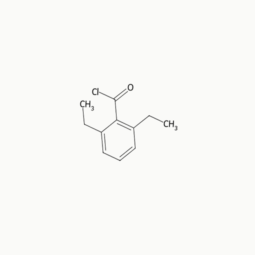 CCc1cccc(CC)c1C(=O)Cl